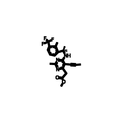 CC#Cc1c(CC(=O)OC)nc(C)nc1N[C@H](C)c1cccc(C(F)(F)F)c1C